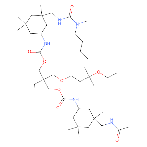 CCCCN(C)C(=O)NCC1(C)CC(NC(=O)OCC(CC)(COCCC(C)(C)OCC)COC(=O)NC2CC(C)(C)CC(C)(CNC(C)=O)C2)CC(C)(C)C1